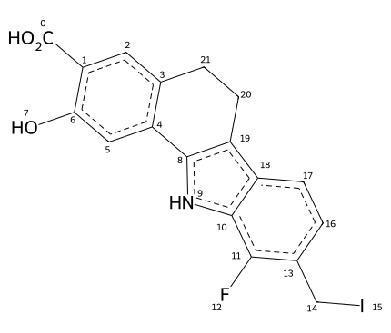 O=C(O)c1cc2c(cc1O)-c1[nH]c3c(F)c(CI)ccc3c1CC2